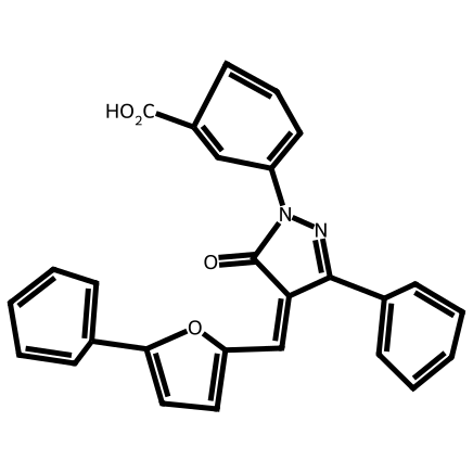 O=C(O)c1cccc(N2N=C(c3ccccc3)C(=Cc3ccc(-c4ccccc4)o3)C2=O)c1